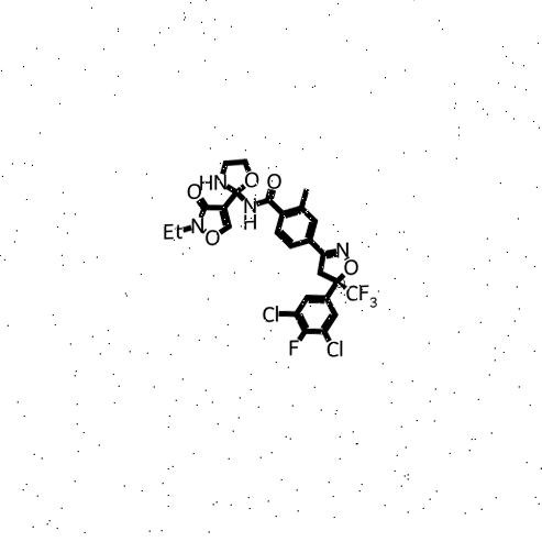 CCn1occ(C2(NC(=O)c3ccc(C4=NO[C@@](c5cc(Cl)c(F)c(Cl)c5)(C(F)(F)F)C4)cc3C)NCCO2)c1=O